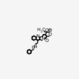 CC[C@@]1(O)C(=O)OCc2c1cc1n(c2=O)Cc2c-1nc1ccccc1c2CC=NOCc1ccccc1